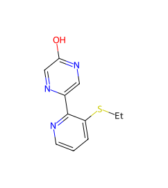 CCSc1cccnc1-c1cnc(O)cn1